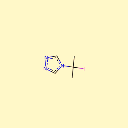 CC(C)(I)n1cnnc1